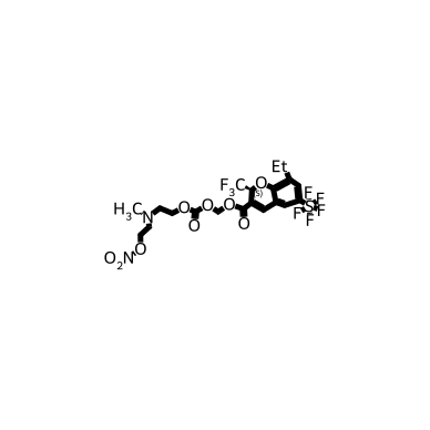 CCc1cc(S(F)(F)(F)(F)F)cc2c1O[C@H](C(F)(F)F)C(C(=O)OCOC(=O)OCCN(C)CCO[N+](=O)[O-])=C2